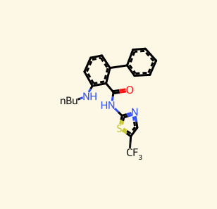 CCCCNc1cccc(-c2ccccc2)c1C(=O)Nc1ncc(C(F)(F)F)s1